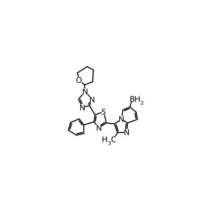 Bc1ccc2nc(C)c(-c3nc(-c4ccccc4)c(-c4ncn(C5CCCCO5)n4)s3)n2c1